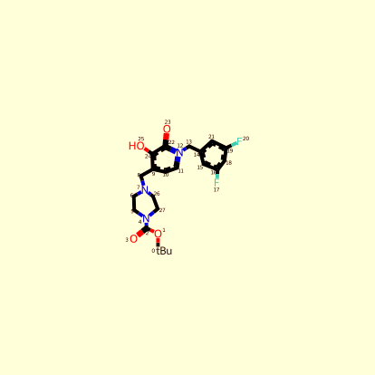 CC(C)(C)OC(=O)N1CCN(Cc2ccn(Cc3cc(F)cc(F)c3)c(=O)c2O)CC1